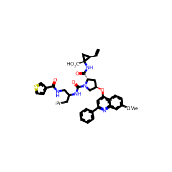 C=C[C@@H]1C[C@]1(NC(=O)[C@@H]1C[C@@H](Oc2cc(-c3ccccc3)nc3cc(OC)ccc23)CN1C(=O)NC(CNC(=O)c1ccsc1)CC(C)C)C(=O)O